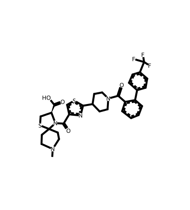 CN1CCC2(CC1)SC[C@@H](C(=O)O)N2C(=O)c1csc(C2CCN(C(=O)c3ccccc3-c3ccc(C(F)(F)F)cc3)CC2)n1